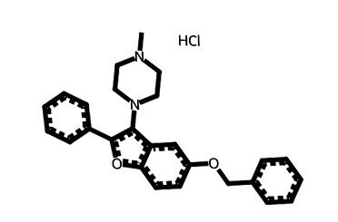 CN1CCN(c2c(-c3ccccc3)oc3ccc(OCc4ccccc4)cc23)CC1.Cl